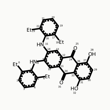 CCc1cccc(CC)c1Nc1cc2c(cc1Nc1c(CC)cccc1CC)C(=O)c1c(O)ccc(O)c1C2=O